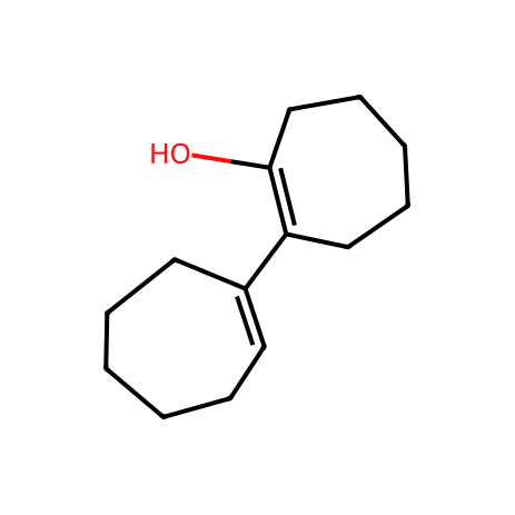 OC1=C(C2=CCCCCC2)CCCCC1